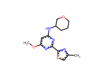 COc1cc(NC2CCCOC2)nc(-c2nc(C)cs2)n1